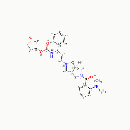 CN(C)c1ccccc1C(=O)N1CC2CN(CCC(NC(=O)OC3CCOC3)c3ccccc3)C[C@H]2C1